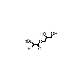 CCCCC(CC)C(=O)OCC(O)CO